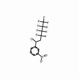 O=[N+]([O-])c1cccc(C(Cl)CC(F)(F)C(F)(F)C(F)(F)C(F)(F)F)c1